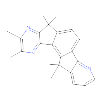 Cc1nc2c(nc1C)C(C)(C)c1ccc3c(c1-2)C(C)(C)c1cccnc1-3